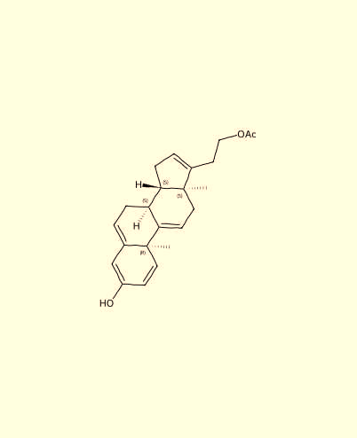 CC(=O)OCCC1=CC[C@H]2[C@@H]3CC=C4C=C(O)C=C[C@]4(C)C3=CC[C@]12C